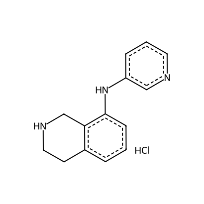 Cl.c1cncc(Nc2cccc3c2CNCC3)c1